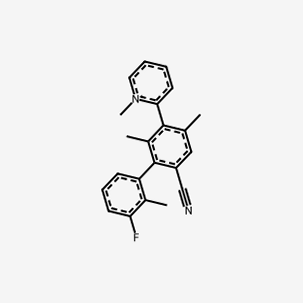 Cc1cc(C#N)c(-c2cccc(F)c2C)c(C)c1-c1cccc[n+]1C